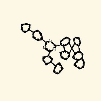 c1ccc(-c2ccc(-c3nc(-c4cccc(-c5ccccc5)c4)nc(-c4cccc5c4-c4ccccc4C54c5ccccc5-c5cc6ccccc6cc54)n3)cc2)cc1